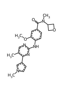 COc1cc(C(=O)N(C)C2COC2)ccc1Nc1ncc(C)c(-c2ccn(C)c2)n1